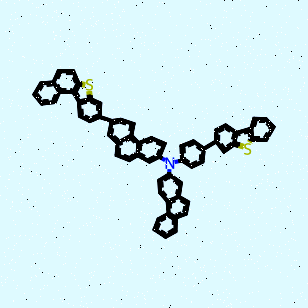 c1ccc2c(c1)ccc1cc(N(c3ccc(-c4ccc5c(c4)sc4ccccc45)cc3)c3ccc4c(ccc5cc(-c6ccc7c(c6)sc6ccc8ccccc8c67)ccc54)c3)ccc12